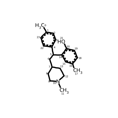 Cc1ccc(C(CC2CCN(C)CC2)c2cc(C)ccc2O)cc1